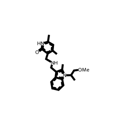 COCC(C)n1c(C)c(CNCc2c(C)cc(C)[nH]c2=O)c2ccccc21